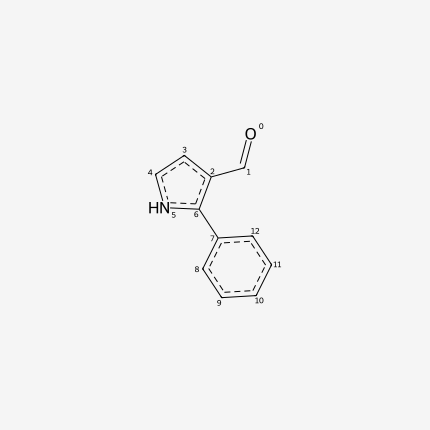 O=Cc1cc[nH]c1-c1ccccc1